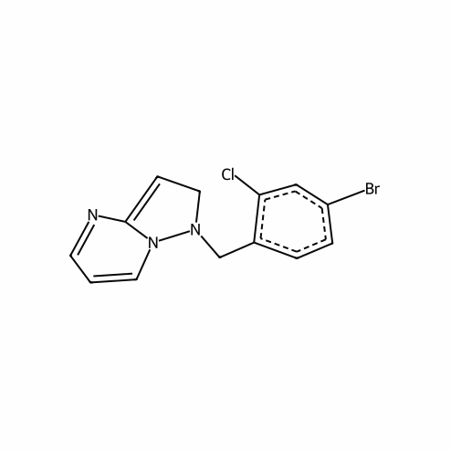 Clc1cc(Br)ccc1CN1CC=C2N=CC=CN21